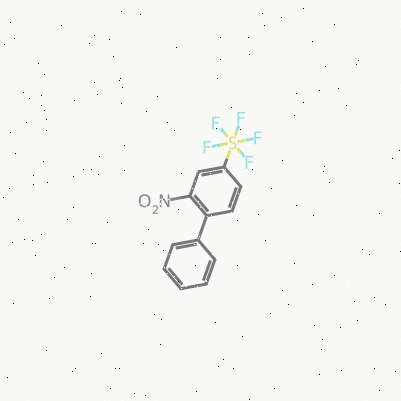 O=[N+]([O-])c1cc(S(F)(F)(F)(F)F)ccc1-c1ccccc1